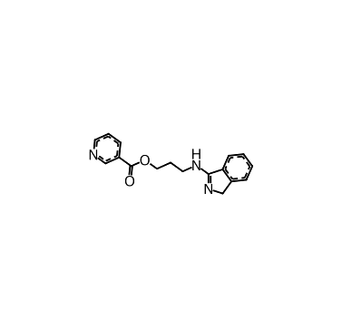 O=C(OCCCNC1=NCc2ccccc21)c1cccnc1